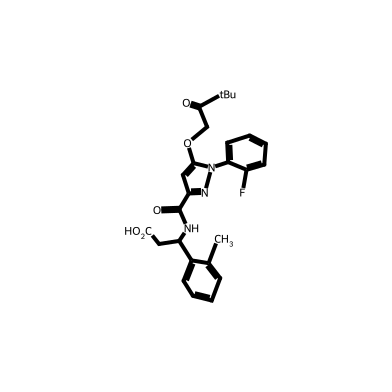 Cc1ccccc1C(CC(=O)O)NC(=O)c1cc(OCC(=O)C(C)(C)C)n(-c2ccccc2F)n1